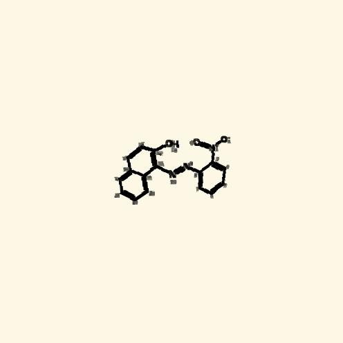 O=[N+]([O-])c1ccccc1N=Nc1c(O)ccc2ccccc12